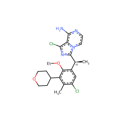 CCOc1c([C@H](C)c2nc(Cl)c3c(N)nccn23)cc(Cl)c(C)c1C1CCOCC1